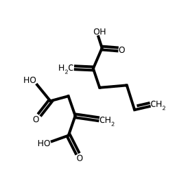 C=C(CC(=O)O)C(=O)O.C=CCCC(=C)C(=O)O